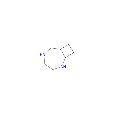 C1CNC2CCC2CN1